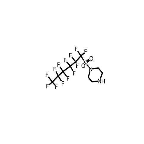 O=S(=O)(N1CCNCC1)C(F)(F)C(F)(F)C(F)(F)C(F)(F)C(F)(F)C(F)(F)F